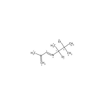 C=C(C)/C=N/C(C)(CC)C(C)(C)CC